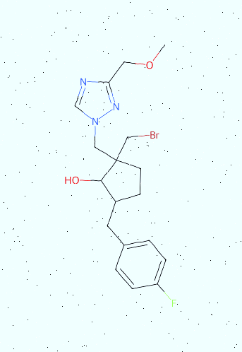 COCc1ncn(CC2(CBr)CCC(Cc3ccc(F)cc3)C2O)n1